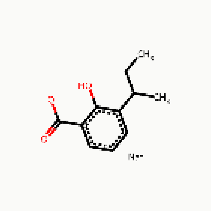 CCC(C)c1cccc(C(=O)[O-])c1O.[Na+]